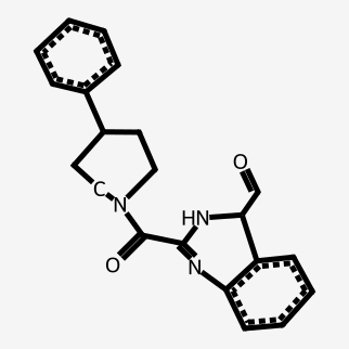 O=CC1NC(C(=O)N2CCC(c3ccccc3)CC2)=Nc2ccccc21